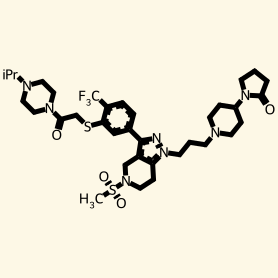 CC(C)N1CCN(C(=O)CSc2cc(-c3nn(CCCN4CCC(N5CCCC5=O)CC4)c4c3CN(S(C)(=O)=O)CC4)ccc2C(F)(F)F)CC1